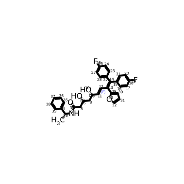 C[C@@H](NC(=O)C[C@H](O)C[C@H](O)/C=C/C(=C(c1ccc(F)cc1)c1ccc(F)cc1)c1ccco1)c1ccccc1